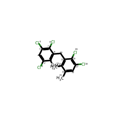 COc1c(Cl)cc(Cl)c(Cl)c1Cc1c(C)c(C)cc(Cl)c1Cl